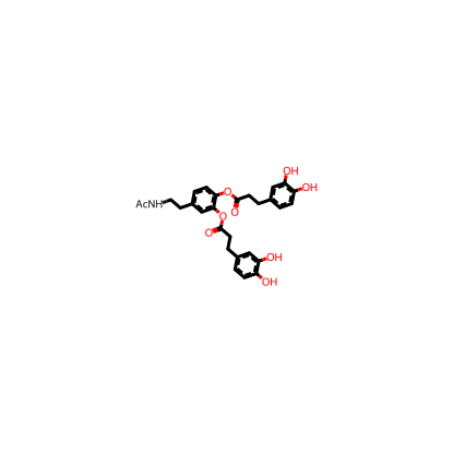 CC(=O)NCCc1ccc(OC(=O)CCc2ccc(O)c(O)c2)c(OC(=O)CCc2ccc(O)c(O)c2)c1